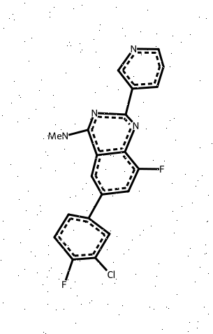 CNc1nc(-c2cccnc2)nc2c(F)cc(-c3ccc(F)c(Cl)c3)cc12